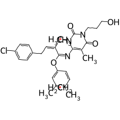 C=C(C)/C=C\C(=C/C(=C)C)OC(=N/c1c(C)c(=O)n(CCCO)c(=O)n1C)/C(C)=C\Cc1ccc(Cl)cc1